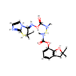 CN(SN(C)C(=O)Oc1cccc2c1OC(C)(C)C2)C(=O)ON=C1n2ccnc2SC1(C)C